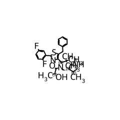 C[C@H](O)C(=O)N(C[C@@H]1CNC[C@@H]1C)[C@@H](c1nc(-c2cc(F)ccc2F)sc1Cc1ccccc1)C(C)(C)C